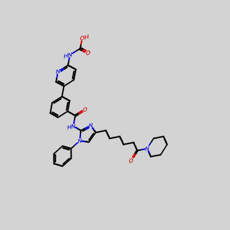 O=C(O)Nc1ccc(-c2cccc(C(=O)Nc3nc(CCCCCC(=O)N4CCCCC4)cn3-c3ccccc3)c2)cn1